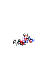 CCOC(=O)c1cnc(C#N)c(Br)c1N1CCC(C)(NC(=O)OC(C)(C)C)C1